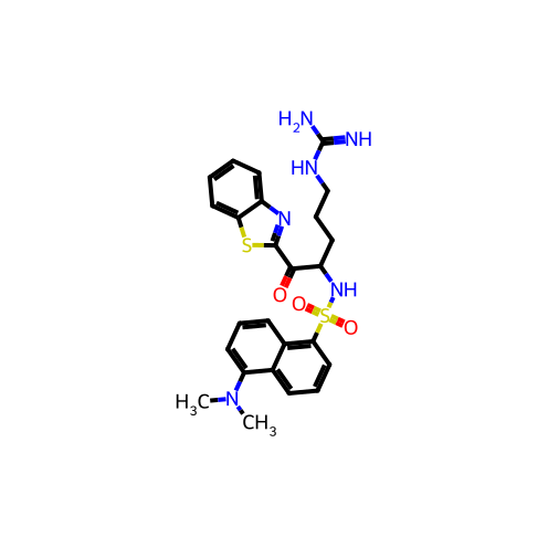 CN(C)c1cccc2c(S(=O)(=O)NC(CCCNC(=N)N)C(=O)c3nc4ccccc4s3)cccc12